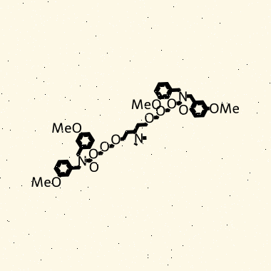 COc1cccc(CN(Cc2cccc(OC)c2)C(=O)OCOCOCCC(CCOCOCOC(=O)N(Cc2cccc(OC)c2)Cc2cccc(OC)c2)N(C)C)c1